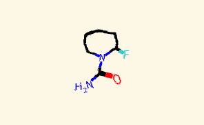 NC(=O)N1CCCCC1F